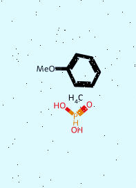 C.COc1ccccc1.O=[PH](O)O